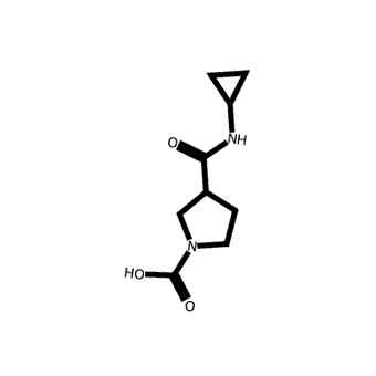 O=C(NC1CC1)C1CCN(C(=O)O)C1